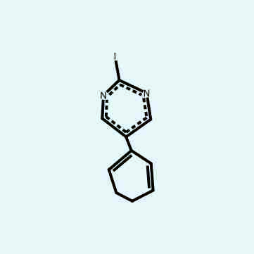 Ic1ncc(C2=CCCC=C2)cn1